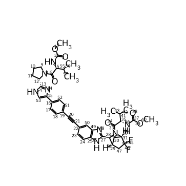 COC(=O)N[C@H](C(=O)N1CCC[C@H]1c1nc(-c2ccc(C#Cc3ccc4[nH]c([C@@H]5[C@@H]6C[C@H](N5C(=O)[C@@H](NC(=O)OC)C(C)C)C(F)(F)C6)nc4c3)cc2)c[nH]1)C(C)C